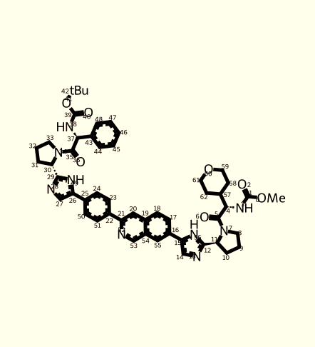 COC(=O)N[C@H](C(=O)N1CCC[C@H]1c1ncc(-c2ccc3cc(-c4ccc(-c5cnc([C@@H]6CCCN6C(=O)[C@H](NC(=O)OC(C)(C)C)c6ccccc6)[nH]5)cc4)ncc3c2)[nH]1)C1CCOCC1